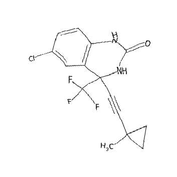 CC1(C#CC2(C(F)(F)F)NC(=O)Nc3ccc(Cl)cc32)CC1